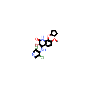 COc1ccc2c(Nc3c(Cl)cncc3Cl)c(Br)c(=O)[nH]c2c1OC1CCCC1